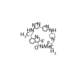 CNC(=O)c1c(F)cnc2c([C@H](C)CNc3cc(-c4ccc(NC5CCN(CC(C)F)CC5)nc4)ncn3)cccc12